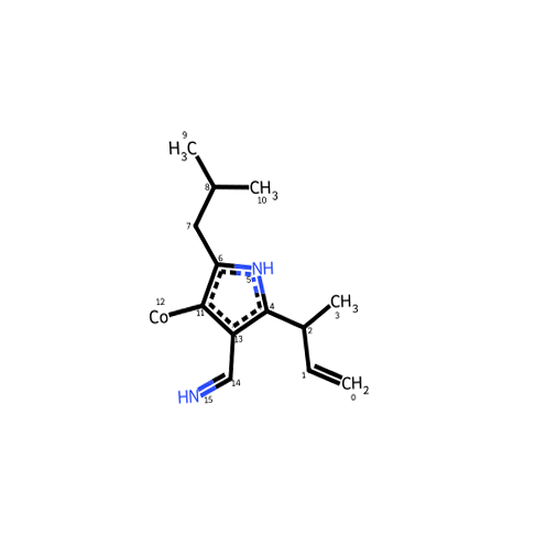 C=CC(C)c1[nH]c(CC(C)C)[c]([Co])c1C=N